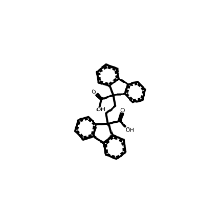 O=C(O)C1(CCC2(C(=O)O)c3ccccc3-c3ccccc32)c2ccccc2-c2ccccc21